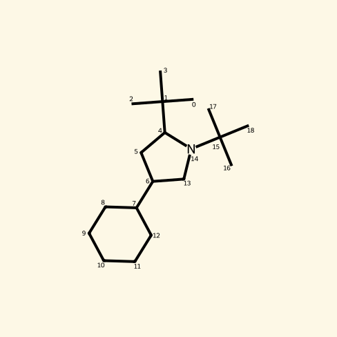 CC(C)(C)C1CC(C2CCCCC2)CN1C(C)(C)C